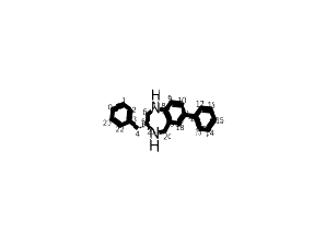 c1ccc(C[C@@H]2CNc3ccc(-c4ccccc4)cc3CN2)cc1